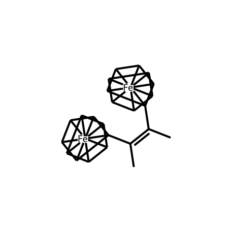 CC(=C(C)[C]12[CH]3[CH]4[CH]5[CH]1[Fe]45321678[CH]2[CH]1[CH]6[CH]7[CH]28)[C]12[CH]3[CH]4[CH]5[CH]1[Fe]45321678[CH]2[CH]1[CH]6[CH]7[CH]28